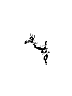 CCCNc1nc(Nc2ccc(C#N)cc2)ncc1C#CCCCNC(=O)[C@]1(C)C[C@@H](O)CN1C(=O)OC(C)(C)C